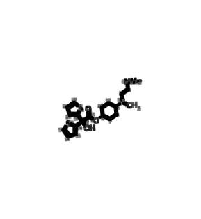 CNCCN(C)[C@H]1CC[C@H](OC(=O)C(O)(c2cccs2)c2cccs2)CC1